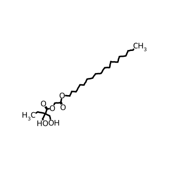 CCCCCCCCCCCCCCCCCCOC(=O)COC(=O)C(CC)(CO)CO